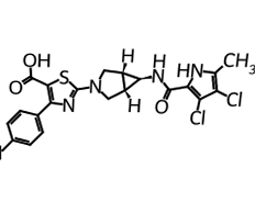 Cc1[nH]c(C(=O)N[C@H]2[C@@H]3CN(c4nc(-c5ccc(Cl)cc5)c(C(=O)O)s4)C[C@@H]32)c(Cl)c1Cl